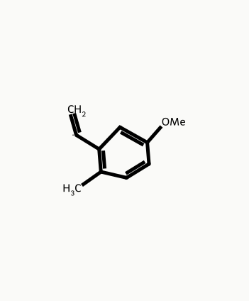 C=[C]c1cc(OC)ccc1C